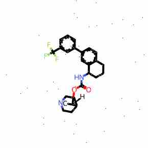 O=C(NC1CCCc2ccc(-c3cccc(C(F)(F)F)c3)cc21)O[C@H]1CN2CCC1CC2